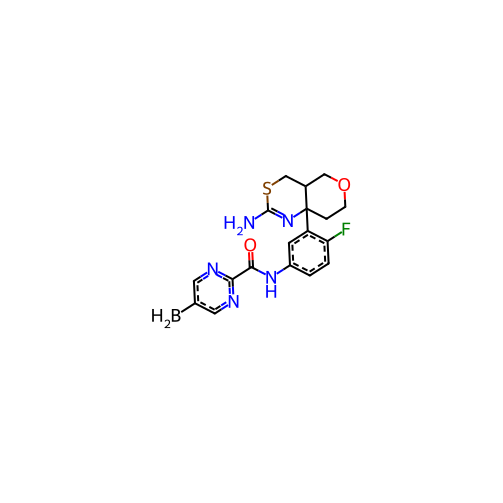 Bc1cnc(C(=O)Nc2ccc(F)c(C34CCOCC3CSC(N)=N4)c2)nc1